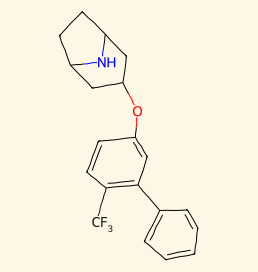 FC(F)(F)c1ccc(OC2CC3CCC(C2)N3)cc1-c1ccccc1